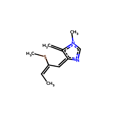 C=c1/c(=C\C(=C/C)SC)ncn1C